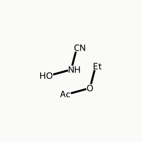 CCOC(C)=O.N#CNO